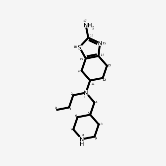 CCCN(CC1CCNCC1)C1CCc2nc(N)sc2C1